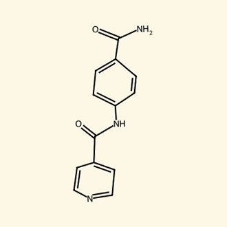 NC(=O)c1ccc(NC(=O)c2ccncc2)cc1